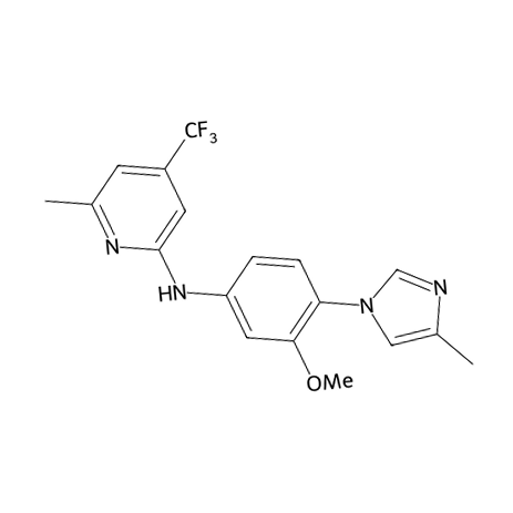 COc1cc(Nc2cc(C(F)(F)F)cc(C)n2)ccc1-n1cnc(C)c1